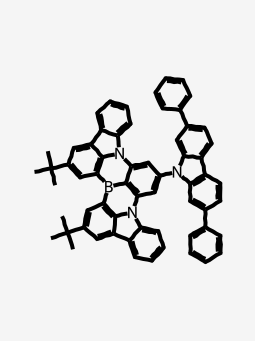 CC(C)(C)c1cc2c3c(c1)c1ccccc1n3-c1cc(-n3c4cc(-c5ccccc5)ccc4c4ccc(-c5ccccc5)cc43)cc3c1B2c1cc(C(C)(C)C)cc2c4ccccc4n-3c12